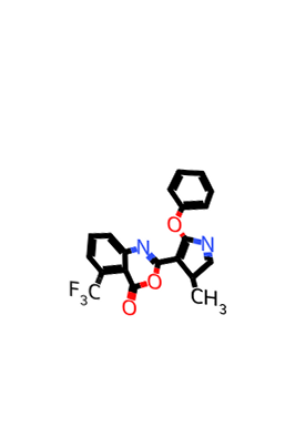 CC1C=NC(Oc2ccccc2)=C1c1nc2cccc(C(F)(F)F)c2c(=O)o1